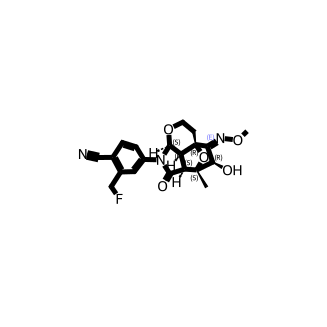 CO/N=C1\[C@@H](O)[C@@]2(C)O[C@@]13CCO[C@H]1[C@@H]3[C@@H]2C(=O)N1c1ccc(C#N)c(CF)c1